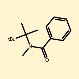 CN(C(=O)c1ccccc1)C(C)(C)C(C)(C)C